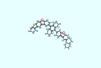 c1ccc2c(c1)ccc1cc3oc4cc(-c5c6ccccc6c(-c6ccc7oc8cc9sc%10ccccc%10c9cc8c7c6)c6ccccc56)ccc4c3cc12